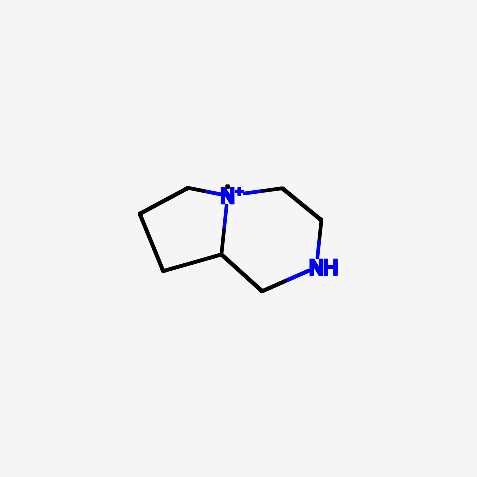 C1CC2CNCC[N+]2C1